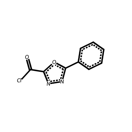 O=C(Cl)c1nnc(-c2ccccc2)o1